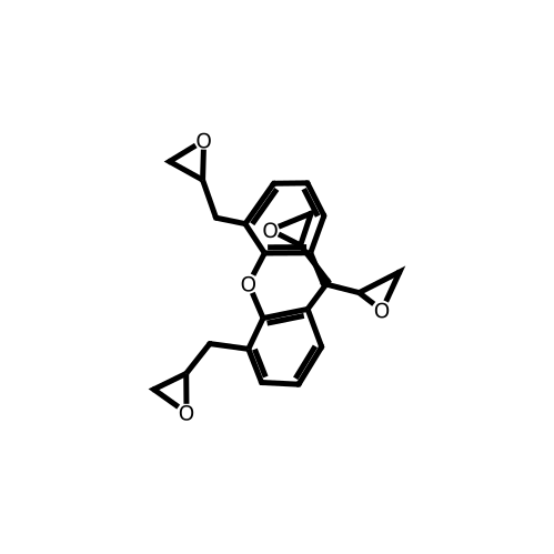 c1cc(CC2CO2)c(Oc2c(CC3CO3)cccc2CC2CO2)c(CC2CO2)c1